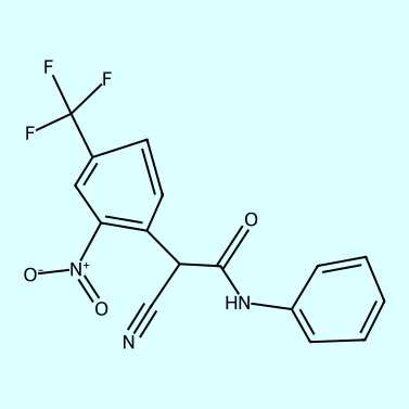 N#CC(C(=O)Nc1ccccc1)c1ccc(C(F)(F)F)cc1[N+](=O)[O-]